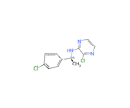 C[C@H](Nc1nccnc1Cl)c1ccc(Cl)cc1